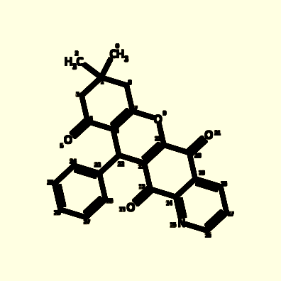 CC1(C)CC(=O)C2=C(C1)OC1=C(C(=O)c3ncccc3C1=O)C2c1ccccc1